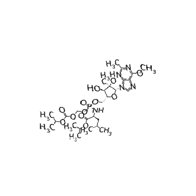 COc1nc(C)nc2c1ncn2[C@@H]1O[C@H](COP(=O)(N[C@@H](CC(C)C)C(=O)OC(C)C)OCOC(=O)OC(C)C)[C@@H](O)[C@@]1(C)O